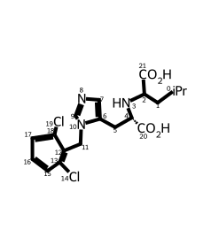 CC(C)CC(N[C@@H](Cc1cncn1Cc1c(Cl)cccc1Cl)C(=O)O)C(=O)O